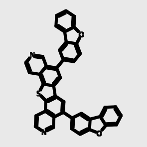 c1ccc2c(c1)oc1ccc(-c3cc4c5cc(-c6ccc7oc8ccccc8c7c6)c6cnccc6c5sc4c4ccncc34)cc12